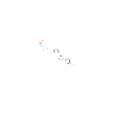 Cc1nc2c(F)cc(-c3nc(Nc4ccc5c(n4)CCN(C4CCN(CC(C)(C)O)CC4)C5)ncc3F)cc2n1C(C)C